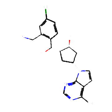 Cc1ncnc2c1ccn2[C@@H]1C[C@H](C(O)c2ccc(Cl)cc2CN)[C@@H](O)C1